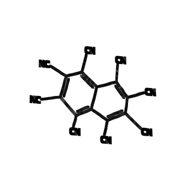 N#Cc1c(C#N)c(C#N)c2c(C#N)c(C#N)c(C#N)c(C#N)c2c1C#N